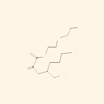 C=C(CC(CC)CCCC)C(=O)OCCOCCO